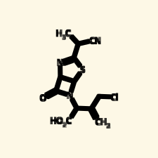 C=C(CCl)C(C(=O)O)N1C(=O)C2N=C(C(C)C#N)SC21